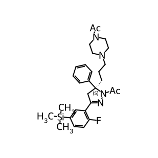 CC(=O)N1CCN(CCC[C@@]2(c3ccccc3)CC(c3cc([Si](C)(C)C)ccc3F)=NN2C(C)=O)CC1